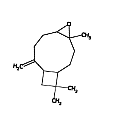 C=C1CCC2OC2(C)CCC2C1CC2(C)C